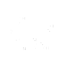 COc1ccc(C(C#N)NC(=O)N(C)C2CCN(C)CC2)c(Cl)c1Br